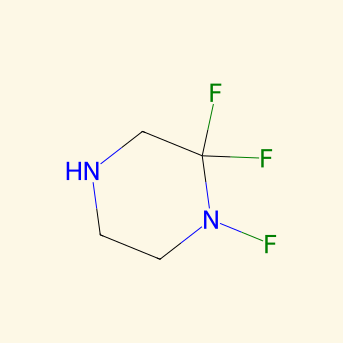 FN1CCNCC1(F)F